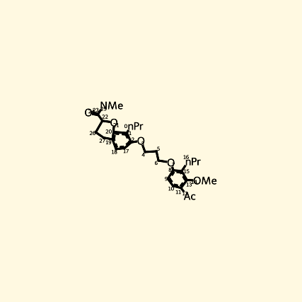 CCCc1c(OCCCOc2ccc(C(C)=O)c(OC)c2CCC)ccc2c1OC(C(=O)NC)CC2